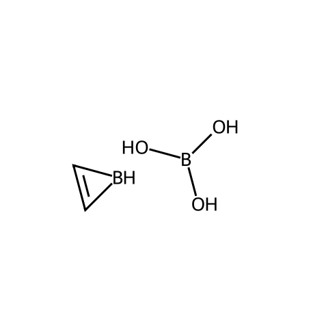 B1C=C1.OB(O)O